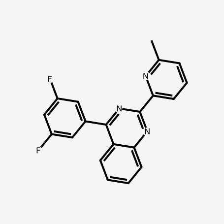 Cc1cccc(-c2nc(-c3cc(F)cc(F)c3)c3ccccc3n2)n1